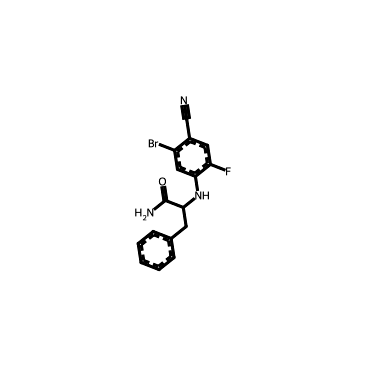 N#Cc1cc(F)c(NC(Cc2ccccc2)C(N)=O)cc1Br